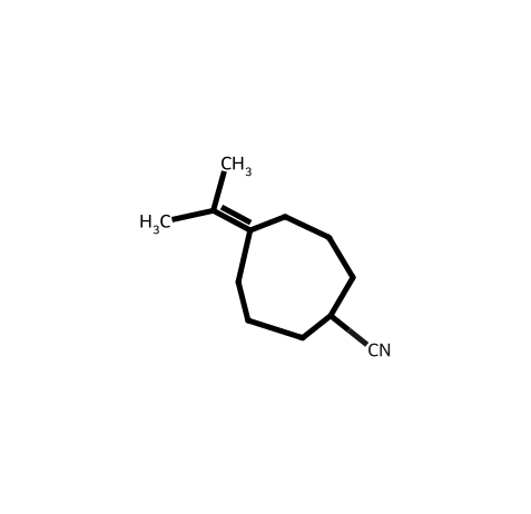 CC(C)=C1CCCC(C#N)CCC1